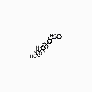 CCC(CC)(c1ccc(/C=C/C2(O)CCCCC2)c(C)c1)c1ccc(C(=O)NC(C)C(=O)O)c(C)c1